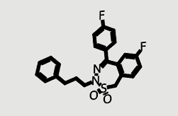 O=S1(=O)Cc2ccc(F)cc2C(c2ccc(F)cc2)=NN1CCCc1ccccc1